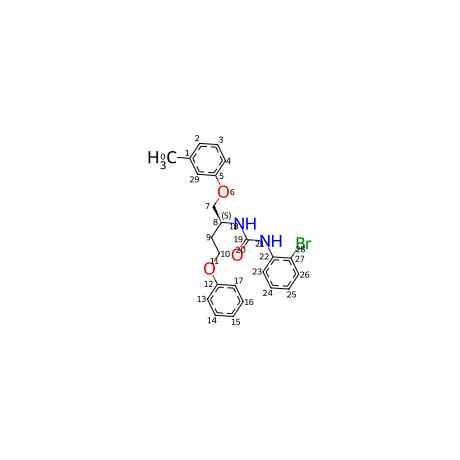 Cc1cccc(OC[C@H](CCOc2ccccc2)NC(=O)Nc2ccccc2Br)c1